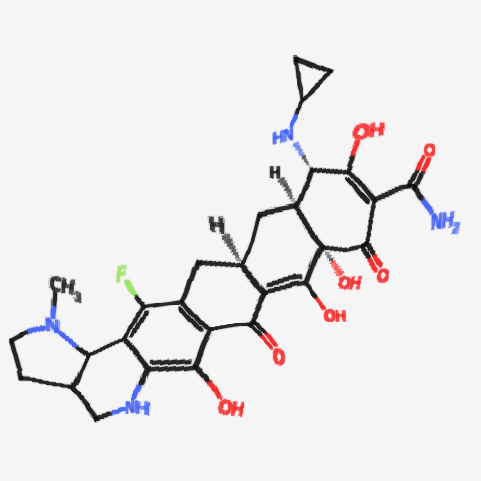 CN1CCC2CNc3c(O)c4c(c(F)c3C21)C[C@H]1C[C@H]2[C@H](NC3CC3)C(O)=C(C(N)=O)C(=O)[C@@]2(O)C(O)=C1C4=O